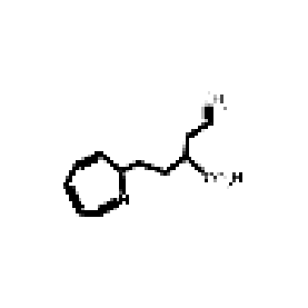 C=CCC(CCC1C=CC=CC=N1)C(=O)O